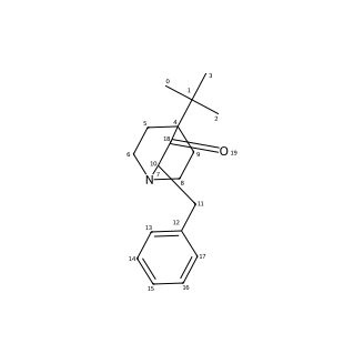 CC(C)(C)C12CCN(CC1)C(Cc1ccccc1)C2=O